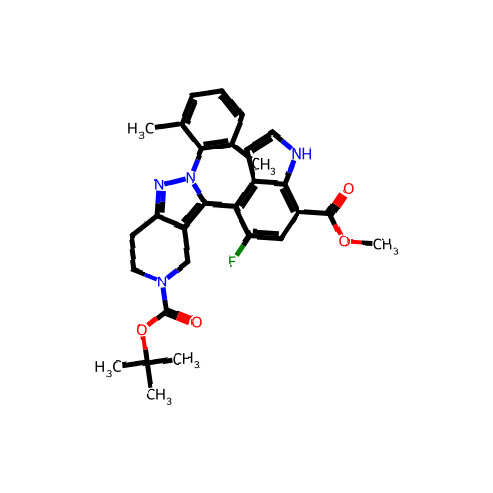 COC(=O)c1cc(F)c(-c2c3c(nn2-c2c(C)cccc2C)CCN(C(=O)OC(C)(C)C)C3)c2cc[nH]c12